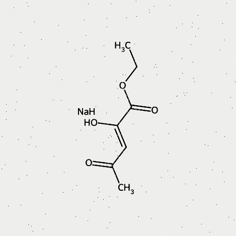 CCOC(=O)/C(O)=C/C(C)=O.[NaH]